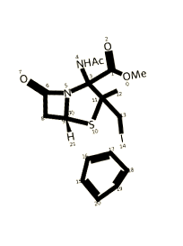 COC(=O)C1(NC(C)=O)N2C(=O)C[C@H]2SC1(C)CI.c1ccccc1